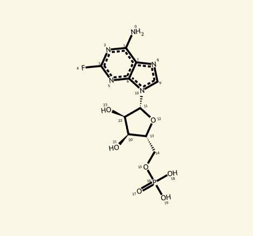 Nc1nc(F)nc2c1ncn2[C@@H]1O[C@H](COP(=O)(O)O)[C@@H](O)[C@H]1O